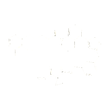 CNC(=O)C1(C(=O)NCc2cccc(Cn3cc(-c4cccc5c4CCCN5C(=O)CCCOc4cccc(C)c4C)cn3)c2)CC1